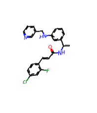 CC(NC(=O)C=Cc1ccc(Cl)cc1F)c1cccc(NCc2cccnc2)c1